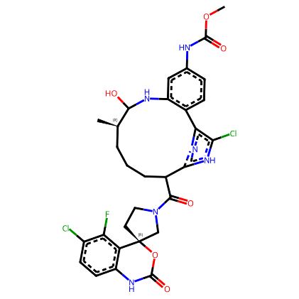 COC(=O)Nc1ccc2c(c1)NC(O)[C@H](C)CCCC(C(=O)N1CC[C@@]3(C1)OC(=O)Nc1ccc(Cl)c(F)c13)c1nc-2c(Cl)[nH]1